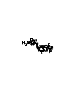 NC1=NC(CCc2cccc(OC(F)(F)C(F)F)c2)CO1